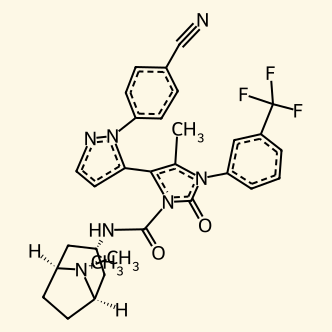 Cc1c(-c2ccnn2-c2ccc(C#N)cc2)n(C(=O)N[C@@H]2C[C@H]3CC[C@@H](C2)[N+]3(C)C)c(=O)n1-c1cccc(C(F)(F)F)c1